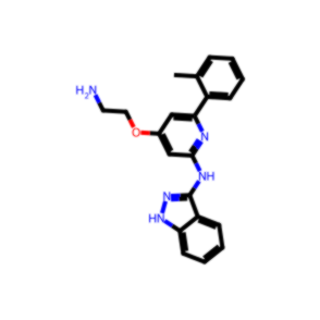 Cc1ccccc1-c1cc(OCCN)cc(Nc2n[nH]c3ccccc23)n1